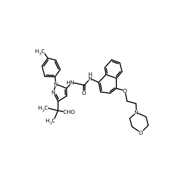 Cc1ccc(-n2nc(C(C)(C)C=O)cc2NC(=O)Nc2ccc(OCCN3CCOCC3)c3ccccc23)cc1